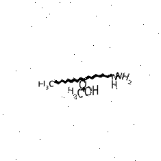 CC(=O)O.CCCCCCCCCCCCCCCCCCNN